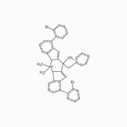 CCc1ccccc1-c1cccc2c1C=C1[CH]2[Hf]([CH3])([CH3])[CH]2C(=Cc3c(-c4ccccc4CC)cccc32)C1(C)Cc1ccccc1